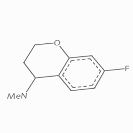 CNC1CCOc2cc(F)ccc21